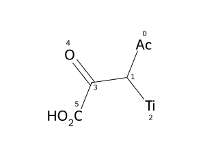 CC(=O)[CH]([Ti])C(=O)C(=O)O